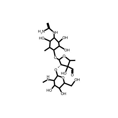 C=C(N)NC1C(O)C(C)C(OC2OC(C)C(O)(C=O)[C@@H]2OC2OC(CO)C(O)C(O)C2NC)C(O)C1O